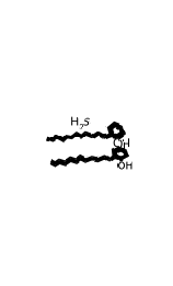 CCCCCCCCCCCCc1ccccc1O.CCCCCCCCCCCCc1ccccc1O.S